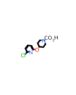 O=C(O)N1CCC(Oc2cccc(Cl)n2)CC1